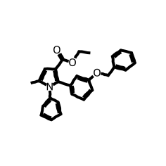 CCOC(=O)c1cc(C)n(-c2ccccc2)c1-c1cccc(OCc2ccccc2)c1